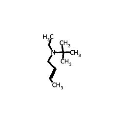 CC=CCN(CC)C(C)(C)C